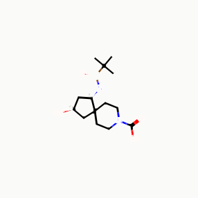 CC(C)(C)[S@@+]([O-])N[C@@H]1C[C@H](O)CC12CCN(C(=O)O)CC2